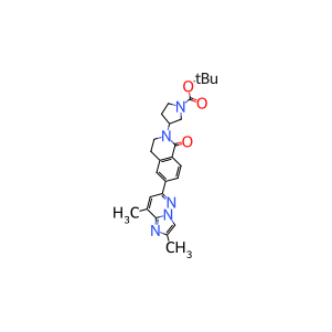 Cc1cn2nc(-c3ccc4c(c3)CCN(C3CCN(C(=O)OC(C)(C)C)C3)C4=O)cc(C)c2n1